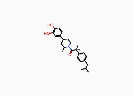 CC(C)Cc1ccc([C@H](C)C(=O)N2CCC(c3ccc(O)c(O)c3)CC2C)cc1